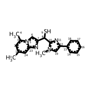 Cc1cc(C)n2cc(C(S)c3nc(-c4ccccc4)cn3C)nc2c1